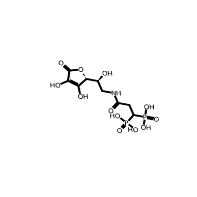 O=C(CC(P(=O)(O)O)P(=O)(O)O)NC[C@H](O)[C@H]1OC(=O)C(O)=C1O